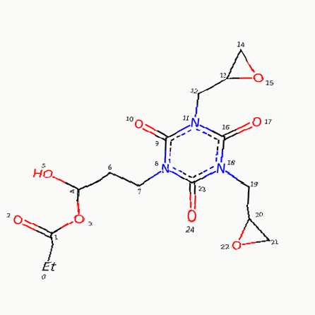 CCC(=O)OC(O)CCn1c(=O)n(CC2CO2)c(=O)n(CC2CO2)c1=O